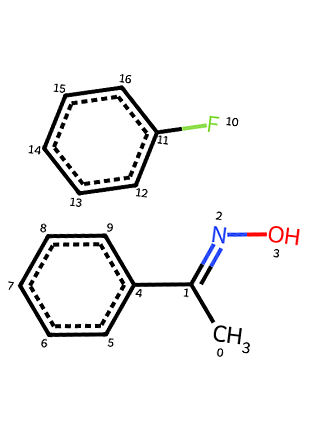 CC(=NO)c1ccccc1.Fc1ccccc1